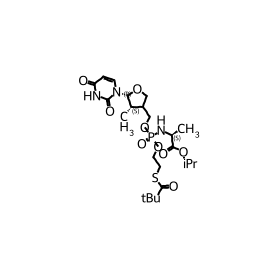 CC(C)OC(=O)[C@H](C)NP(=O)(OCCSC(=O)C(C)(C)C)OCC1CO[C@@H](n2ccc(=O)[nH]c2=O)[C@H]1C